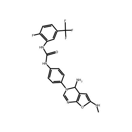 CNc1cc2c(o1)N=CN(c1ccc(NC(=O)Nc3cc(C(F)(F)F)ccc3F)cc1)C2N